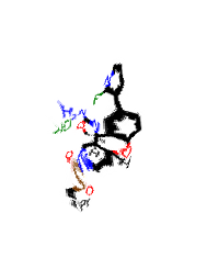 CC(C)CS(=O)(=O)N1CC[C@H]2Oc3ccc(-c4cccnc4F)cc3[C@@]3(COC(N)=N3)[C@@H]2C1.Cl